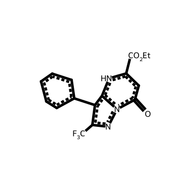 CCOC(=O)c1cc(=O)n2nc(C(F)(F)F)c(-c3ccccc3)c2[nH]1